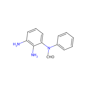 Nc1cccc(N(C=O)c2ccccc2)c1N